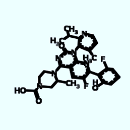 Cc1ccnc(C(C)C)c1-n1c(=O)nc(N2CCN(C(=O)O)CC2C)c2cc(F)c(-c3c(O)cccc3F)nc21